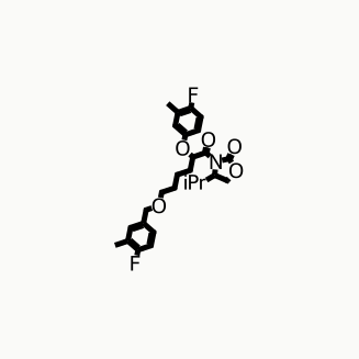 Cc1cc(COCCCCC(Oc2ccc(F)c(C)c2)C(=O)N2C(=O)OCC2C(C)C)ccc1F